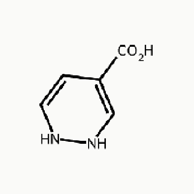 O=C(O)C1=CNNC=C1